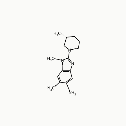 Cc1cc2c(cc1N)nc(N1CCC[C@@H](C)C1)n2C